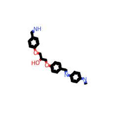 C=Nc1ccc(/N=C/c2ccc(OCC(O)COc3ccc(C=N)cc3)cc2)cc1